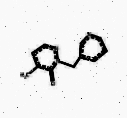 Cc1ccnn(Cc2cccnc2)c1=O